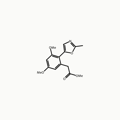 COC(=O)Cc1cc(OC)cc(OC)c1-c1cnc(C)o1